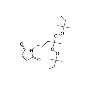 CCC(C)(C)OOC(C)(CCCN1C(=O)C=CC1=O)OOC(C)(C)CC